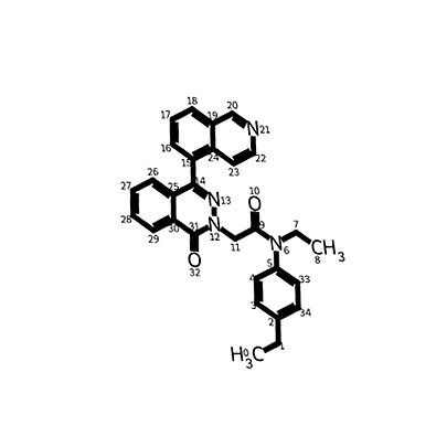 CCc1ccc(N(CC)C(=O)Cn2nc(-c3cccc4cnccc34)c3ccccc3c2=O)cc1